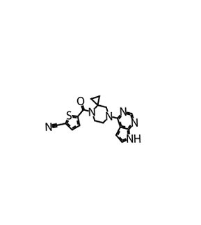 N#Cc1ccc(C(=O)N2CCN(c3ncnc4[nH]ccc34)CC23CC3)s1